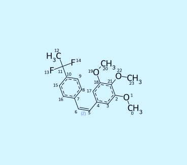 COc1cc(/C=C\c2ccc(C(C)(F)F)cc2)cc(OC)c1OC